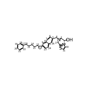 OCCN(Cc1ccc2cc(OCCCCCc3ccccc3)ccc2c1)Cc1nccs1